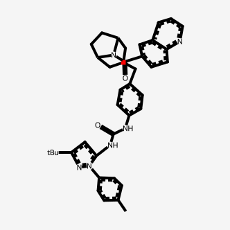 Cc1ccc(-n2nc(C(C)(C)C)cc2NC(=O)Nc2ccc(CC3CC4CCC(C3)N4C(=O)c3ccc4ncccc4c3)cc2)cc1